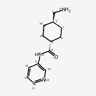 NC[C@H]1CC[C@H](C(=O)Nc2ccnnc2)CC1